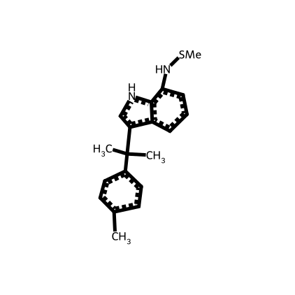 CSNc1cccc2c(C(C)(C)c3ccc(C)cc3)c[nH]c12